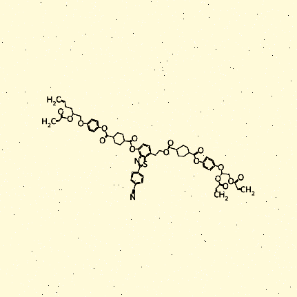 C=CCCC(COc1ccc(OC(=O)C2CCC(C(=O)Oc3ccc(CCOC(=O)C4CCC(C(=O)Oc5ccc(O[C@@H](COC(=O)C=C)OC(=O)C=C)cc5)CC4)c4sc(-c5ccc(C#N)cc5)nc34)CC2)cc1)OC(=O)C=C